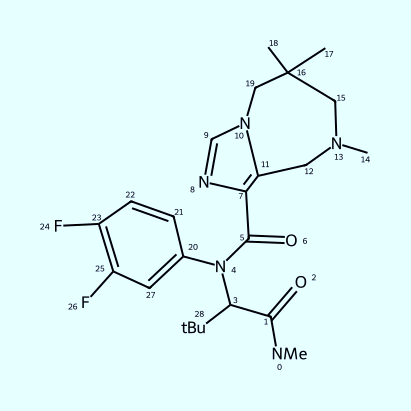 CNC(=O)C(N(C(=O)c1ncn2c1CN(C)CC(C)(C)C2)c1ccc(F)c(F)c1)C(C)(C)C